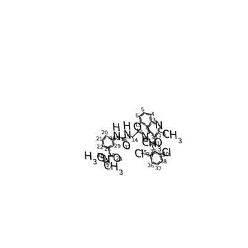 Cc1nc2ccccc2c(N(C)C(=O)CNC(=O)Nc2cccc(C(=O)N(C)C)c2)c1OCc1c(Cl)cccc1Cl